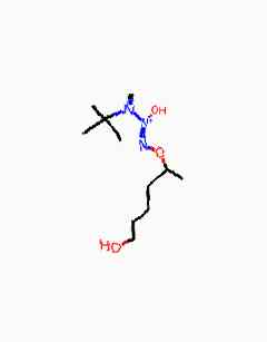 CC(CCCCO)O/N=[N+](\O)N(C)C(C)(C)C